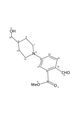 COC(=O)c1cc(N2CCC(CO)CC2)ccc1C=O